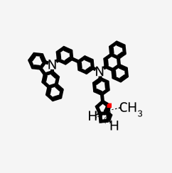 C[C@H]1C[C@H]2C[C@H]3CC(c4ccc(N(c5ccc(-c6cccc(-n7c8ccccc8c8cc9ccccc9cc87)c6)cc5)c5cc6ccccc6c6ccccc56)cc4)(CC23)C1